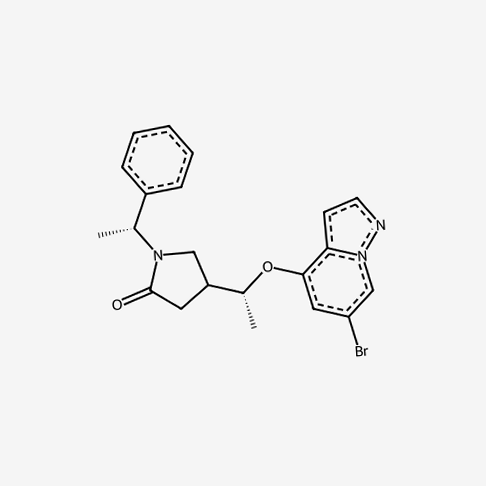 C[C@H](c1ccccc1)N1CC([C@@H](C)Oc2cc(Br)cn3nccc23)CC1=O